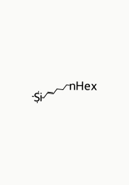 CCCCCCCCC/C=C/C[Si](C)(C)C